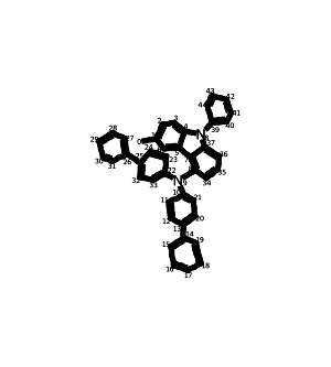 Cc1ccc2c(c1)c1c(N(c3ccc(-c4ccccc4)cc3)c3ccc(-c4ccccc4)cc3)cccc1n2-c1ccccc1